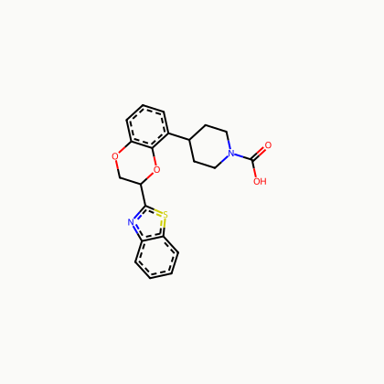 O=C(O)N1CCC(c2cccc3c2OC(c2nc4ccccc4s2)CO3)CC1